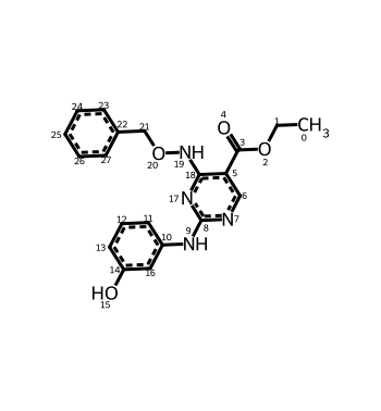 CCOC(=O)c1cnc(Nc2cccc(O)c2)nc1NOCc1ccccc1